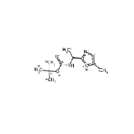 Cc1cnc(C(C)NC(=O)OC(C)(C)C)[nH]1